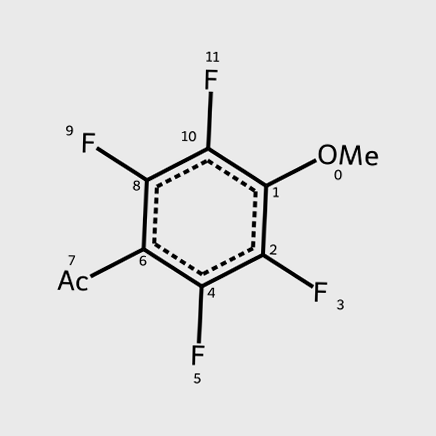 COc1c(F)c(F)c(C(C)=O)c(F)c1F